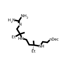 CCCCCCCCCCCCN[C@@](C)(CC)CCNC(C)(CC)CN=C(N)N